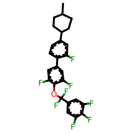 CC1CCC(c2ccc(-c3cc(F)c(OC(F)(F)c4cc(F)c(F)c(F)c4)c(F)c3)c(F)c2)CC1